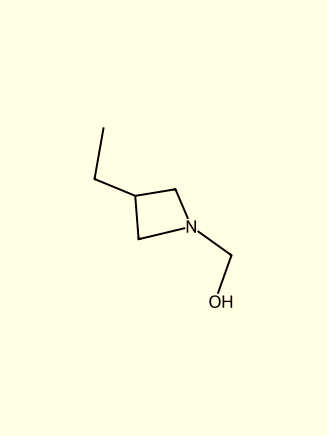 CCC1CN(CO)C1